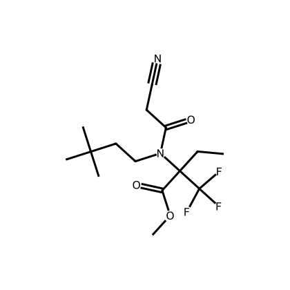 CCC(C(=O)OC)(N(CCC(C)(C)C)C(=O)CC#N)C(F)(F)F